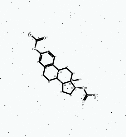 CCC(=O)Oc1ccc2c(c1)CCC1C2CC[C@@]2(C)C1CC[C@@H]2OC(=O)CC